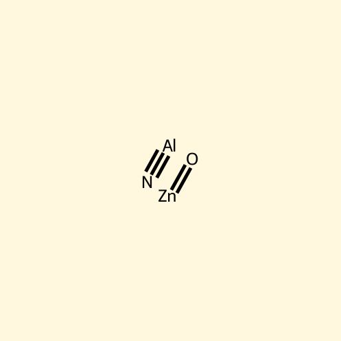 [N]#[Al].[O]=[Zn]